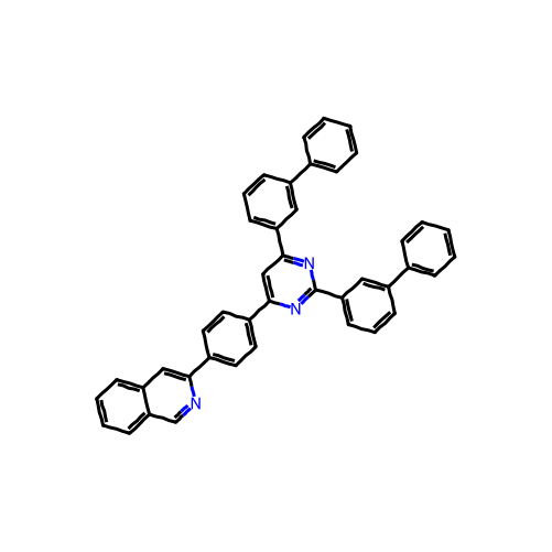 c1ccc(-c2cccc(-c3cc(-c4ccc(-c5cc6ccccc6cn5)cc4)nc(-c4cccc(-c5ccccc5)c4)n3)c2)cc1